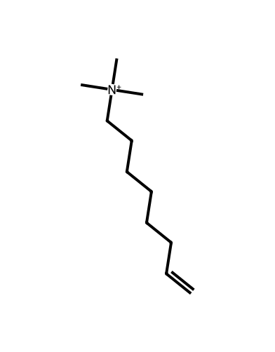 C=CCCCCCC[N+](C)(C)C